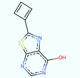 Oc1ncnc2sc(C3=CC=C3)nc12